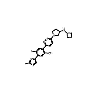 Cc1ncc(-c2cc(O)c(-c3ccc(N4CCC(NC5CCC5)C4)nn3)cc2F)s1